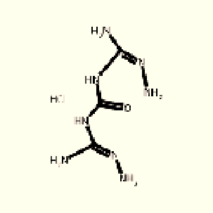 Cl.NN=C(N)NC(=O)NC(N)=NN